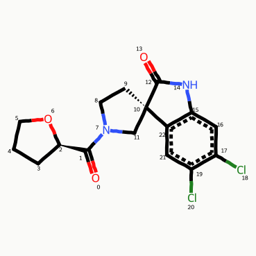 O=C([C@H]1CCCO1)N1CC[C@]2(C1)C(=O)Nc1cc(Cl)c(Cl)cc12